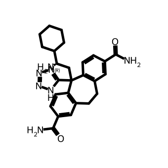 NC(=O)c1ccc2c(c1)CCc1cc(C(N)=O)ccc1C2(C[C@@H](N)C1CCCCC1)c1nnn[nH]1